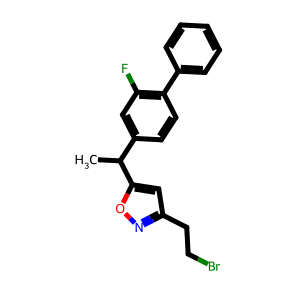 CC(c1ccc(-c2ccccc2)c(F)c1)c1cc(CCBr)no1